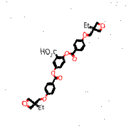 CCC1(COc2ccc(C(=O)Oc3ccc(OC(=O)c4ccc(OCC5(CC)COC5)cc4)c(C(=O)O)c3)cc2)COC1